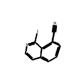 N#Cc1cccc2ccnc(I)c12